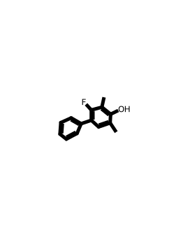 Cc1cc(-c2ccccc2)c(F)c(C)c1O